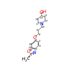 Cc1nc2ccc(OCCCN3CCC(O)CC3)cc2o1